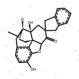 CN1CC[C@]23c4c5ccc(O)c4OC2C(=O)C2(Cc4ccccc4C2)C[C@@]3(O)[C@H]1C5